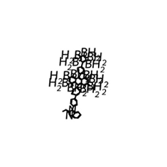 Bc1c(B)c(B)c(-c2ccc(-c3c4c(B)c(B)c(B)c(B)c4c(-c4ccc(-c5ccc(-n6c(CC)nc7ccccc76)cc5)cc4)c4c(B)c(B)c(B)c(B)c34)cc2)c(B)c1B